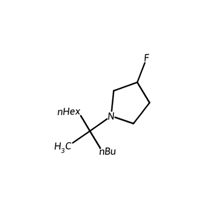 CCCCCCC(C)(CCCC)N1CCC(F)C1